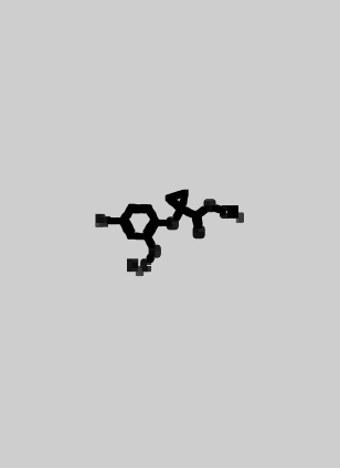 COC(=O)C1(Oc2ccc(Br)cc2OC)CC1